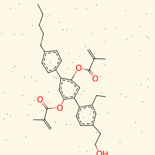 C=C(C)C(=O)Oc1cc(-c2ccc(CCO)cc2CC)c(OC(=O)C(=C)C)cc1-c1ccc(CCCCC)cc1